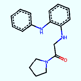 O=C(CNc1ccccc1Nc1ccccc1)N1CCCC1